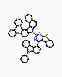 c1ccc(-n2c3ccccc3c3c(-c4nc(-n5c6ccc7ccccc7c6c6c7c8ccccc8c8ccccc8c7ccc65)nc5sc6ccccc6c45)cccc32)cc1